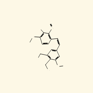 COc1ccc(/C=C\c2cc(CO)c(CO)c(OC)c2)c(N=O)c1O